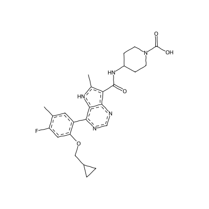 Cc1cc(-c2ncnc3c(C(=O)NC4CCN(C(=O)O)CC4)c(C)[nH]c23)c(OCC2CC2)cc1F